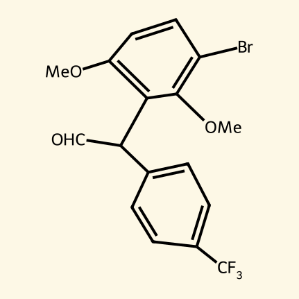 COc1ccc(Br)c(OC)c1C(C=O)c1ccc(C(F)(F)F)cc1